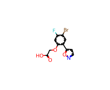 O=C(O)COc1cc(F)c(Br)cc1-c1ccno1